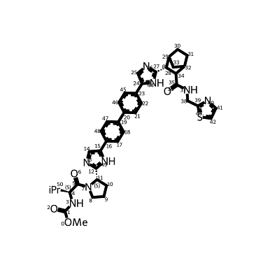 COC(=O)N[C@H](C(=O)N1CCC[C@H]1c1ncc(-c2ccc(-c3ccc(-c4cnc([C@@H]5C6CCC(C6)C5C(=O)NCc5nccs5)[nH]4)cc3)cc2)[nH]1)C(C)C